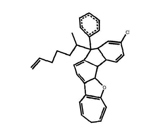 C=CCCCC(C)C1(c2ccccc2)C2=CC=C3C4=C(C=CCC=C4)OC3C2C2C=CC(Cl)=CC21